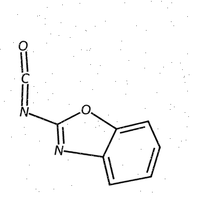 O=C=Nc1nc2ccccc2o1